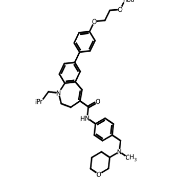 CCCCOCCOc1ccc(-c2ccc3c(c2)C=C(C(=O)Nc2ccc(CN(C)C4CCCOC4)cc2)CCN3CC(C)C)cc1